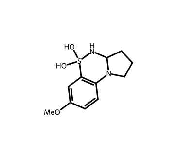 COc1ccc2c(c1)S(O)(O)NC1CCCN21